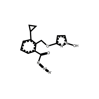 [N-]=[N+]=NC(=O)c1cccc(C2CC2)c1COc1ccn(O)n1